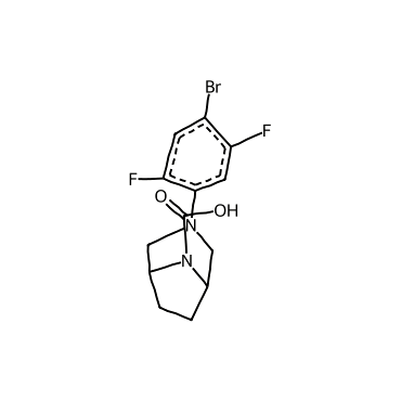 O=C(O)N1C2CCC1CN(c1cc(F)c(Br)cc1F)C2